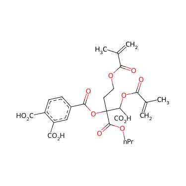 C=C(C)C(=O)OCCC(OC(=O)c1ccc(C(=O)O)c(C(=O)O)c1)(C(=O)OCCC)C(OC(=O)C(=C)C)C(=O)O